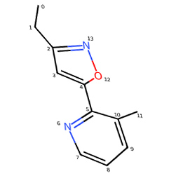 CCc1cc(-c2ncccc2C)on1